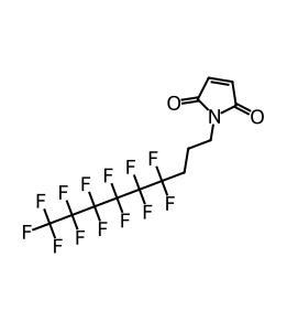 O=C1C=CC(=O)N1CCCC(F)(F)C(F)(F)C(F)(F)C(F)(F)C(F)(F)C(F)(F)F